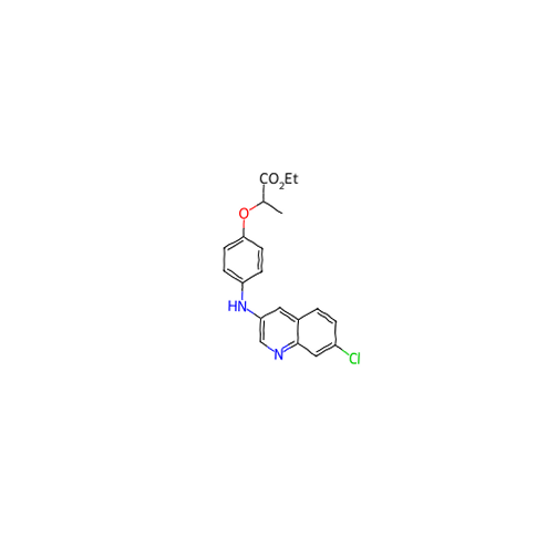 CCOC(=O)C(C)Oc1ccc(Nc2cnc3cc(Cl)ccc3c2)cc1